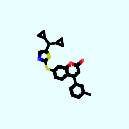 Cc1cccc(-c2cc(=O)oc3cc(Sc4ncc(C(C5CC5)C5CC5)s4)ccc23)c1